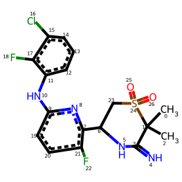 CC1(C)C(=N)NC(c2nc(Nc3cccc(Cl)c3F)ccc2F)CS1(=O)=O